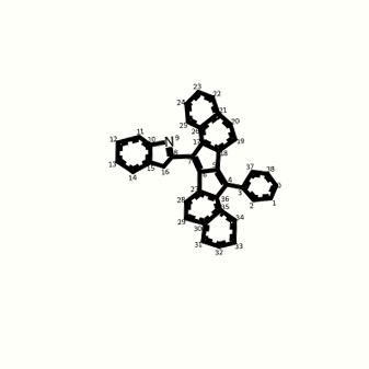 c1ccc(C2=C3C(=C(C4=Nc5ccccc5C4)c4c3ccc3ccccc43)c3ccc4ccccc4c32)cc1